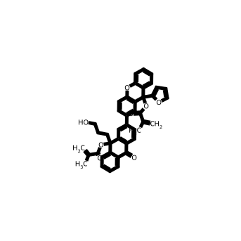 C=C(C)C(=O)OC1(CCCO)c2ccccc2C(=O)c2ccc(-c3ccc4c(c3)C(OC(=O)C(=C)C)(c3ccco3)c3ccccc3O4)cc21